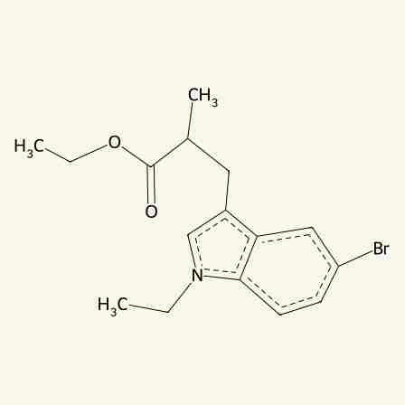 CCOC(=O)C(C)Cc1cn(CC)c2ccc(Br)cc12